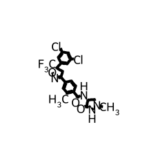 Cc1cc(C2=NOC(c3cc(Cl)cc(Cl)c3)(C(F)(F)F)C2)ccc1C(=O)NC1CN(C)NC1=O